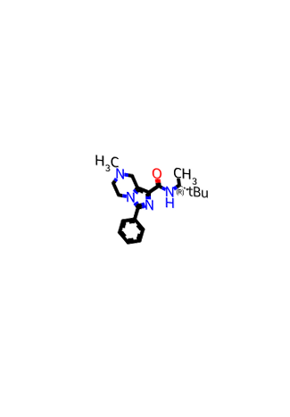 C[C@@H](NC(=O)c1nc(-c2ccccc2)n2c1CN(C)CC2)C(C)(C)C